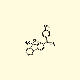 Cc1ccc(N(C)c2ccc3c(c2)C(C)(C)c2ccccc2-3)cc1